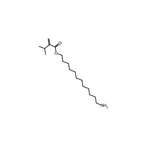 C=C(C(=O)OCCCCCCCCCCCCN)C(C)C